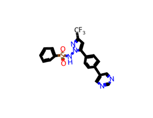 O=S(=O)(Nn1nc(C(F)(F)F)cc1-c1ccc(-c2cncnc2)cc1)c1ccccc1